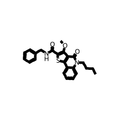 CCCCn1c(=O)c2c(OC)c(C(=O)NCc3ccccc3)sc2c2ccccc21